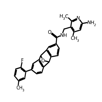 Cc1ccc(F)c(-c2ccc3c(c2)C2OC3c3ccc(C(=O)NCc4c(C)cc(N)nc4C)cc32)c1